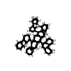 c1ccc(-p2c3ccccc3c3cccc(-c4cccc5c(-c6cc7ccccc7c7ccccc67)c6cccc(-c7cccc8c9ccccc9p(-c9ccccc9)c78)c6cc45)c32)cc1